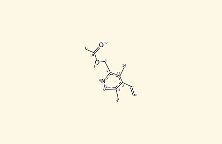 C=Cc1c(C)cnc(COC(C)=O)c1C